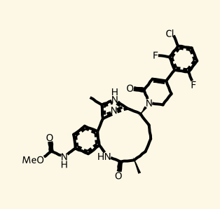 COC(=O)Nc1ccc2c(c1)NC(=O)[C@H](C)CCC[C@H](N1CCC(c3c(F)ccc(Cl)c3F)=CC1=O)c1nc-2c(C)[nH]1